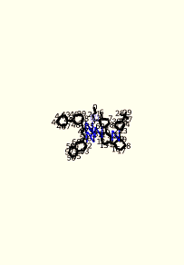 C=C/C=C\c1c(C)ccc2c3c(ccc4c5ccccc5n(-c5ccc(C(C)(C)C)cc5)c43)n(-c3nc(-c4cccc(-c5ccccc5)c4)cc(-c4ccc5ccccc5c4)n3)c12